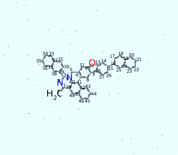 C=C(/N=C(\N=C\c1ccc2c(c1)oc1cc(-c3ccc4ccccc4c3)ccc12)c1ccc2ccccc2c1)c1ccc2ccccc2c1